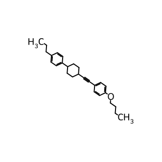 CCCCOc1ccc(C#CC2CCC(c3ccc(CCC)cc3)CC2)cc1